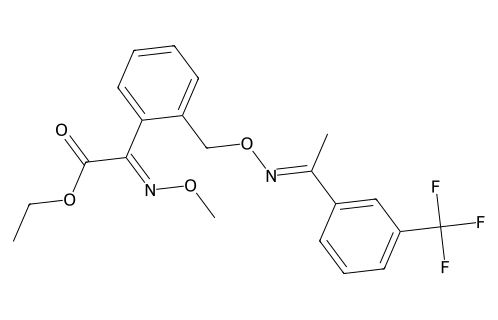 CCOC(=O)/C(=N/OC)c1ccccc1CO/N=C(\C)c1cccc(C(F)(F)F)c1